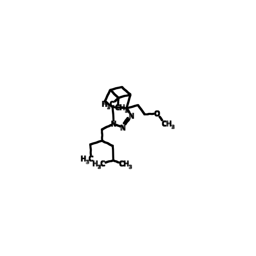 CCC(CC(C)C)CN1N=NC2(CCOC)C1CC1CC2C1(C)C